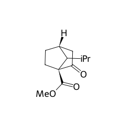 COC(=O)[C@]12CC[C@H](CC1=O)C2C(C)C